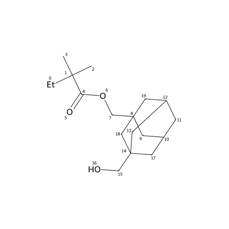 CCC(C)(C)C(=O)OCC12CC3CC(CC(CO)(C3)C1)C2